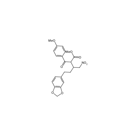 COC(=O)C(C(=O)c1ccc(OC)cc1)C(CCc1ccc2c(c1)OCO2)C[N+](=O)[O-]